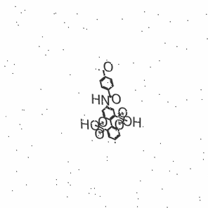 O=[C]c1ccc(C(=O)Nc2ccc(-c3cc[c]cc3S(=O)(=O)O)c(S(=O)(=O)O)c2)cc1